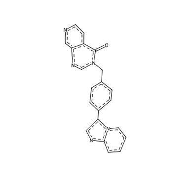 O=c1c2ccncc2ncn1Cc1ccc(-c2cnc3ccccn23)cc1